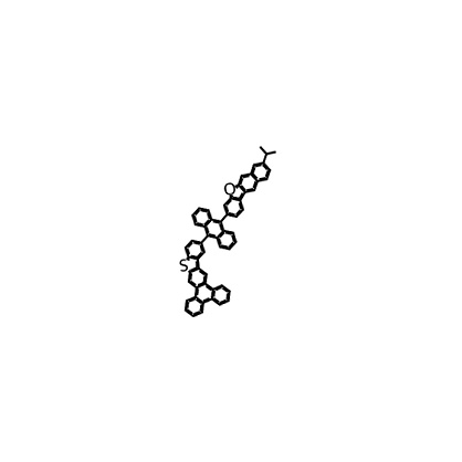 CC(C)c1ccc2cc3c(cc2c1)oc1cc(-c2c4ccccc4c(-c4ccc5sc6cc7c8ccccc8c8ccccc8c7cc6c5c4)c4ccccc24)ccc13